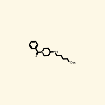 CCCCCCCCCCCCCCNC1CCN(C(=O)c2ccccc2)CC1